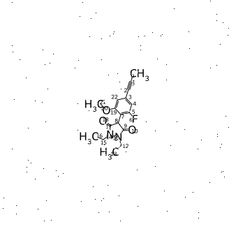 CC#Cc1cc(F)c(C2C(=O)N(CC)N(CC)C2=O)c(OC)c1